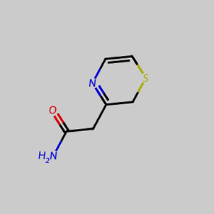 NC(=O)CC1=NC=CSC1